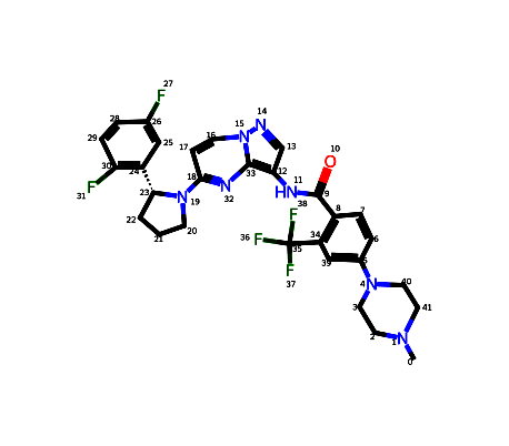 CN1CCN(c2ccc(C(=O)Nc3cnn4ccc(N5CCC[C@@H]5c5cc(F)ccc5F)nc34)c(C(F)(F)F)c2)CC1